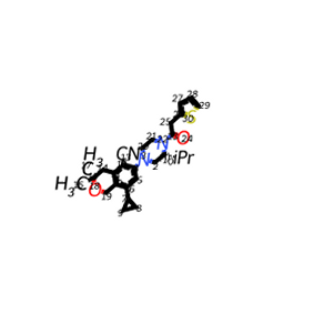 CC(C)[C@@H]1CN(c2cc(C3CC3)c3c(c2C#N)CC(C)(C)OC3)CCN1C(=O)Cc1cccs1